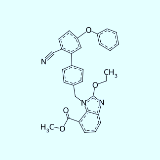 CCOc1nc2cccc(C(=O)OC)c2n1Cc1ccc(-c2cc(Oc3ccccc3)ccc2C#N)cc1